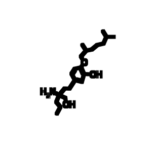 CCCC(N)(CO)CCc1ccc(OCC(C)CCCC(C)C)c(O)c1